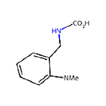 CNc1ccccc1CNC(=O)O